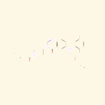 COc1cc(C)c(F)c(N(CCO[Si](C)(C)C(C)(C)C)c2ccc3ncn(C4CCN(C(=O)OC(C)(C)C)CC4)c(=O)c3c2)c1F